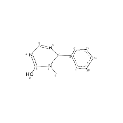 CN1C(O)=NC=NC1c1ccccc1